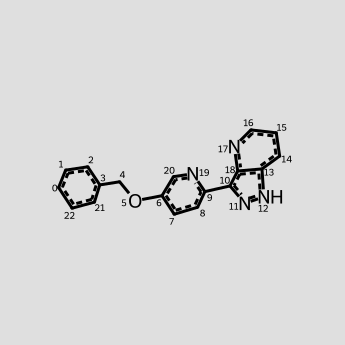 c1ccc(COc2ccc(-c3n[nH]c4cccnc34)nc2)cc1